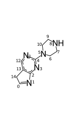 C1=Nc2nc(N3CCNCC3)ncc2C1